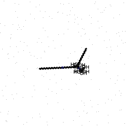 CCCCCCCCCCCCCCCCCC/C=C/CCCCCCCCC(=O)N[C@@H](/C=C/[C@H]1OC(CO)[C@H](O)C(O)C1O)[C@H](O)[C@H](O)CCCCCCCCCCCCCC